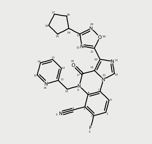 N#Cc1c(F)ccc2c1n(Cc1ccccn1)c(=O)c1c(-c3nc(C4CCCC4)no3)ncn12